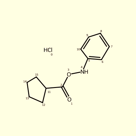 Cl.O=C(ONc1ccccc1)C1CCCC1